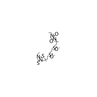 CCN1CC(=O)N(CC(C)(C)CC[S+]([O-])CCC[S+]([O-])CCC(C)(C)CN2C(=S)CN(CC)C2=S)C1=O